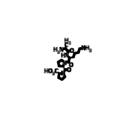 C[C@H](N)C(=O)N[C@@H](CCCCN)C(=O)N1CCC[C@H]1C(=O)N1CCC[C@H]1C(=O)O